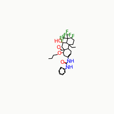 CCCCOC1CC(NC(=O)Nc2ccccc2)=CCC2C1(C=O)CC(O)C1C2(CC)CCC(F)C1(C(F)(F)F)C(F)(F)F